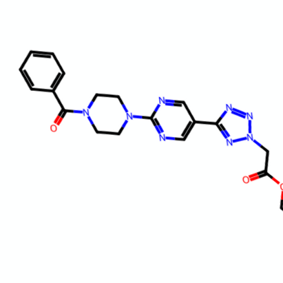 CCOC(=O)Cn1nnc(-c2cnc(N3CCN(C(=O)c4ccccc4)CC3)nc2)n1